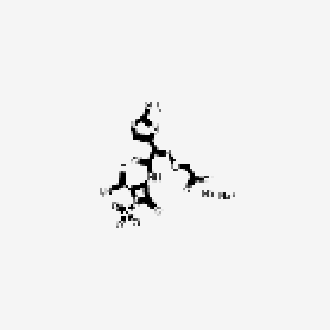 NC(=O)[C@@H]1[C@H](NC(=O)/C(=N\OCC(=O)[O-])c2csc(N)n2)C(=O)N1S(=O)(=O)[O-].[Na+].[Na+]